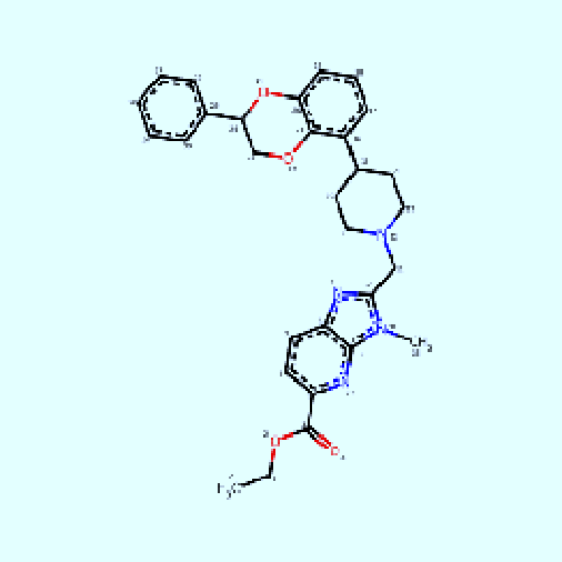 CCOC(=O)c1ccc2nc(CN3CCC(c4cccc5c4OCC(c4ccccc4)O5)CC3)n(C)c2n1